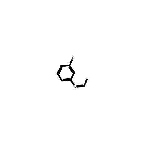 C/C=N\c1cccc(F)c1